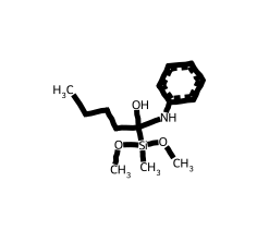 CCCCC(O)(Nc1ccccc1)[Si](C)(OC)OC